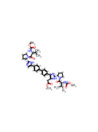 COC(=O)Cc1[nH]c([C@@H]2CCCN2C(=O)[C@@H](NC(=O)OC)C(C)C)nc1-c1ccc(-c2ccc(-c3cnc([C@@H]4CCCN4C(=O)[C@@H](NC(=O)OC)C(C)C)[nH]3)cc2)cc1